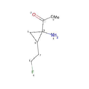 COC(=O)C1(N)CC1CCF